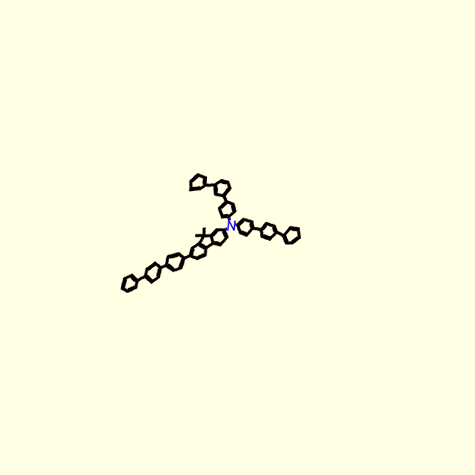 CC1(C)c2cc(-c3ccc(-c4ccc(-c5ccccc5)cc4)cc3)ccc2-c2ccc(N(c3ccc(-c4ccc(-c5ccccc5)cc4)cc3)c3ccc(-c4cccc(-c5ccccc5)c4)cc3)cc21